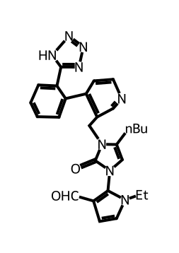 CCCCc1cn(-c2c(C=O)ccn2CC)c(=O)n1Cc1cnccc1-c1ccccc1-c1nnn[nH]1